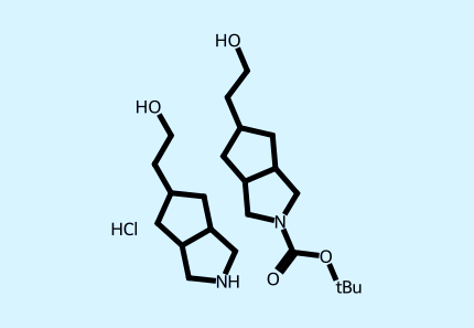 CC(C)(C)OC(=O)N1CC2CC(CCO)CC2C1.Cl.OCCC1CC2CNCC2C1